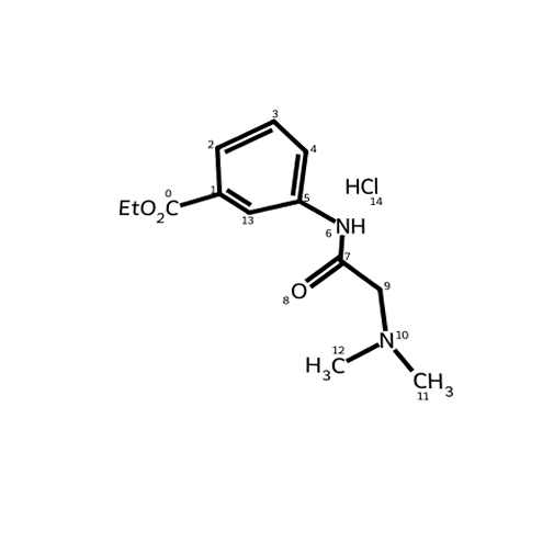 CCOC(=O)c1cccc(NC(=O)CN(C)C)c1.Cl